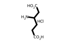 Cl.NC(CCC(=O)O)CC(=O)O